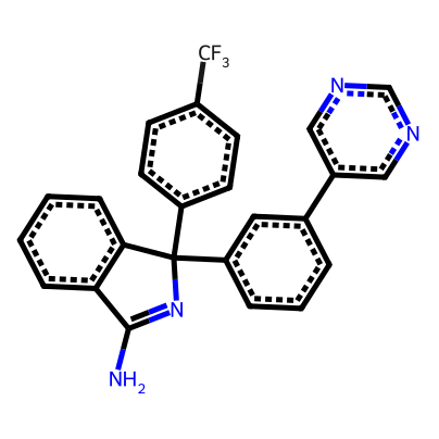 NC1=NC(c2ccc(C(F)(F)F)cc2)(c2cccc(-c3cncnc3)c2)c2ccccc21